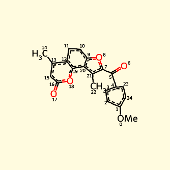 COc1ccc(C(=O)c2oc3ccc4c(C)cc(=O)oc4c3c2C)cc1